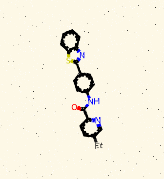 CCc1ccc(C(=O)Nc2ccc(-c3nc4ccccc4s3)cc2)nc1